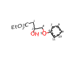 CCOC(=O)CC(O)COc1ccccc1